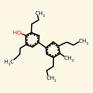 CCCc1cc(-c2cc(CCC)c(O)c(CCC)c2)cc(CCC)c1C